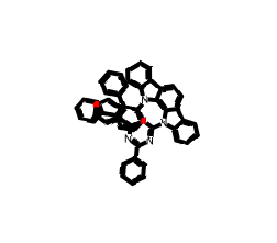 c1ccc(-c2nc(-c3ccccc3)nc(-n3c4ccccc4c4ccc5c6ccccc6n(-c6cccc(-c7ccccc7)c6-c6ccccc6)c5c43)n2)cc1